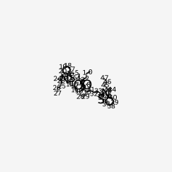 C=C/C=C(\C=C)S(=O)(=O)C1=C(/C=C/C=C2\Sc3ccccc3N2C(C)CCC)CC/C1=C\C=C\C1Sc2ccccc2N1C(C)CCC